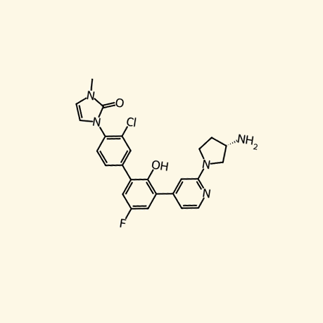 Cn1ccn(-c2ccc(-c3cc(F)cc(-c4ccnc(N5CC[C@H](N)C5)c4)c3O)cc2Cl)c1=O